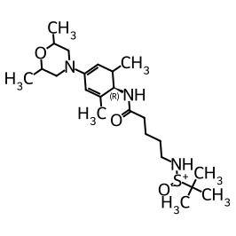 CC1=CC(N2CC(C)OC(C)C2)=CC(C)[C@H]1NC(=O)CCCCN[S+]([O-])C(C)(C)C